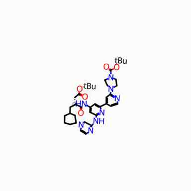 CC(C)(C)OC(=O)C[C@@H](CC1CCCCC1)C(=O)Nc1cc(Nc2cnccn2)nc(-c2ccnc(N3CCN(C(=O)OC(C)(C)C)CC3)c2)c1